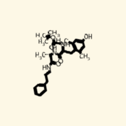 Cc1cc(O)cc(C)c1CC(NC(=O)OC(C)(C)C)C(=O)N[C@@H](C)C(=O)NCCCc1ccccc1